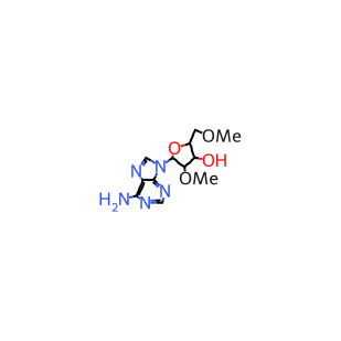 COCC1OC(n2cnc3c(N)ncnc32)C(OC)C1O